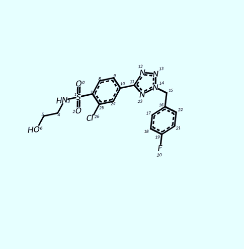 O=S(=O)(NCCO)c1ccc(-c2nnn(Cc3ccc(F)cc3)n2)cc1Cl